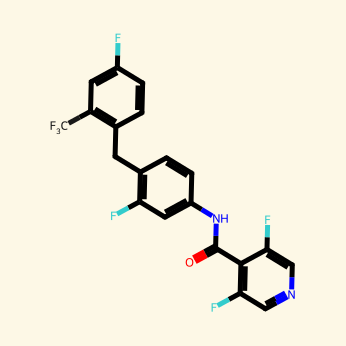 O=C(Nc1ccc(Cc2ccc(F)cc2C(F)(F)F)c(F)c1)c1c(F)cncc1F